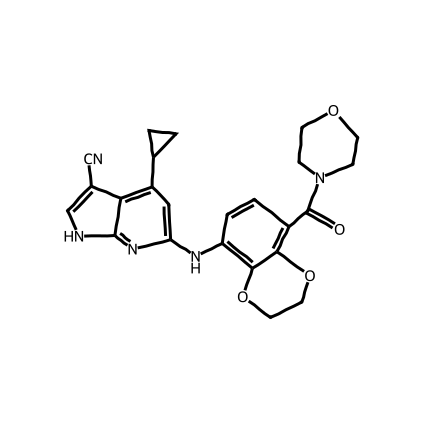 N#Cc1c[nH]c2nc(Nc3ccc(C(=O)N4CCOCC4)c4c3OCCO4)cc(C3CC3)c12